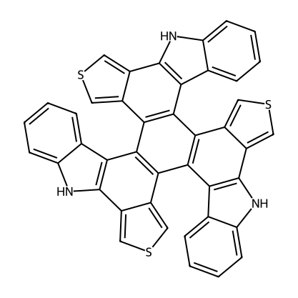 c1ccc2c(c1)[nH]c1c3cscc3c3c(c21)c1c2cscc2c2[nH]c4ccccc4c2c1c1c2cscc2c2[nH]c4ccccc4c2c31